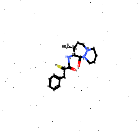 O=C(N[C@@H]1C(=O)N2CCCCN2CC[C@H]1C(=O)O)C(=S)Cc1ccccc1